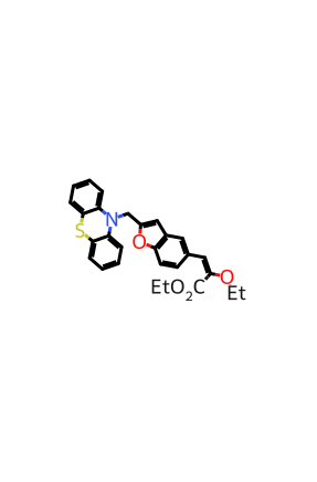 CCOC(=O)/C(=C\c1ccc2oc(CN3c4ccccc4Sc4ccccc43)cc2c1)OCC